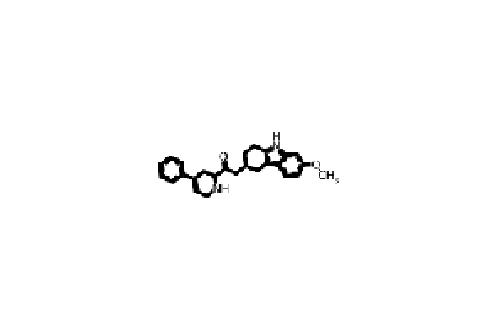 COc1ccc2c3c([nH]c2c1)CCC(CC(=O)C1CC(c2ccccc2)=CCN1)C3